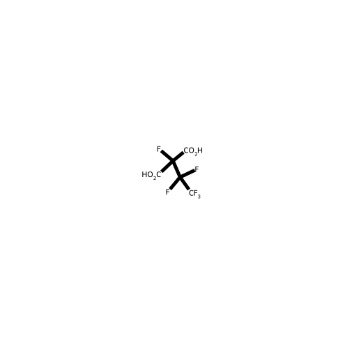 O=C(O)C(F)(C(=O)O)C(F)(F)C(F)(F)F